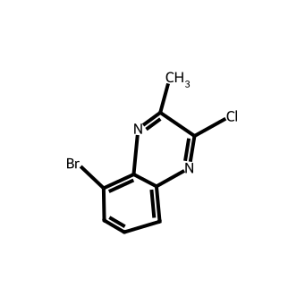 Cc1nc2c(Br)cccc2nc1Cl